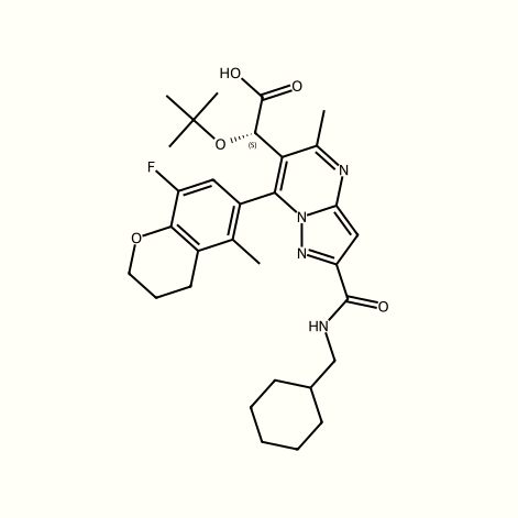 Cc1nc2cc(C(=O)NCC3CCCCC3)nn2c(-c2cc(F)c3c(c2C)CCCO3)c1[C@H](OC(C)(C)C)C(=O)O